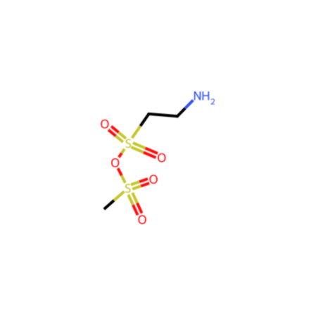 CS(=O)(=O)OS(=O)(=O)CCN